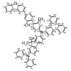 Cc1cc(-c2ccc3oc4ccccc4c3c2)ccc1-c1ccc(N(c2ccc3c(c2)C(C)(C)c2cc(N(c4ccccc4)c4ccccc4)ccc2-3)c2ccc3c4ccccc4c4ccccc4c3c2)cc1C